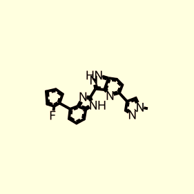 Cn1cc(-c2ccc3[nH]nc(-c4nc5c(-c6ccccc6F)cccc5[nH]4)c3n2)cn1